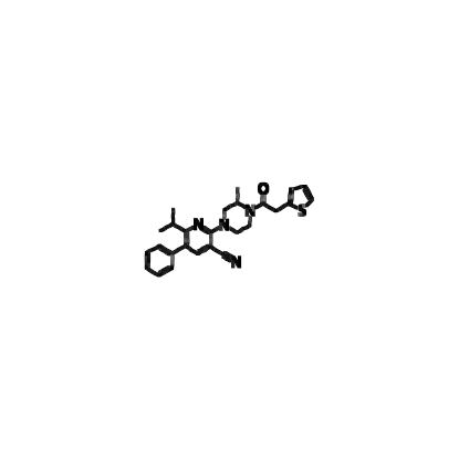 CC(C)c1nc(N2CCN(C(=O)Cc3cccs3)C(C)C2)c(C#N)cc1-c1ccccc1